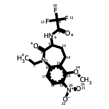 CCN1C(=O)C(NC(=O)C(F)(F)F)CCc2c1ccc([N+](=O)[O-])c2OC